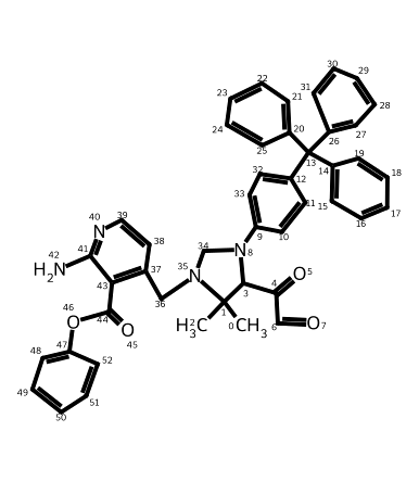 CC1(C)C(C(=O)C=O)N(c2ccc(C(c3ccccc3)(c3ccccc3)c3ccccc3)cc2)CN1Cc1ccnc(N)c1C(=O)Oc1ccccc1